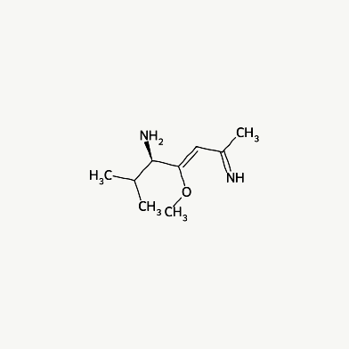 CO/C(=C\C(C)=N)[C@H](N)C(C)C